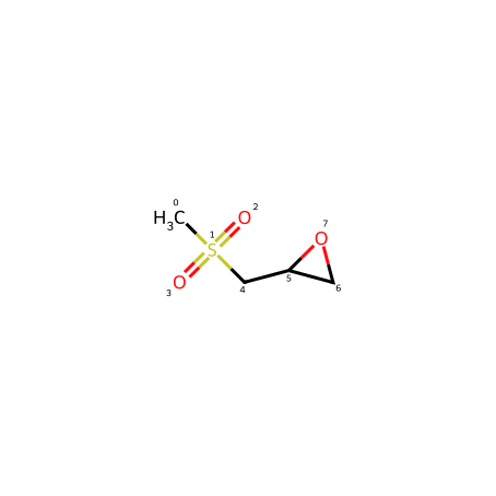 CS(=O)(=O)CC1CO1